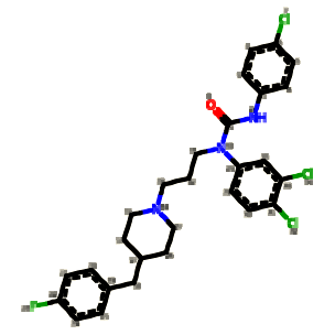 O=C(Nc1ccc(Cl)cc1)N(CCCN1CCC(Cc2ccc(F)cc2)CC1)c1ccc(Cl)c(Cl)c1